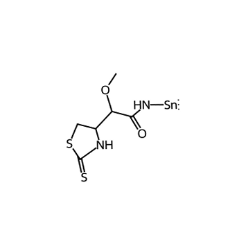 COC(C(=O)[NH][Sn])C1CSC(=S)N1